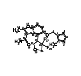 Cc1ncsc1COc1ccc2oc(C)c(C(N)=O)c2c1C1COCC1(F)F